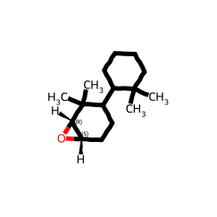 CC1(C)CCCCC1C1CC[C@@H]2O[C@@H]2C1(C)C